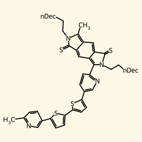 CCCCCCCCCCCCN1C(=S)c2cc3c(cc2=C1C)C(=S)N(CCCCCCCCCCCC)C=3c1ccc(-c2ccc(-c3ccc(-c4ccc(C)nc4)s3)s2)cn1